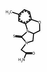 Cc1ccc2c(c1)N1C(=S)N(CC(N)=O)CC1CO2